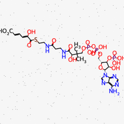 CC(C)(COP(=O)(O)OP(=O)(O)OC[C@H]1O[C@@H](n2cnc3c(N)ncnc32)[C@H](O)[C@@H]1OP(=O)(O)O)C(O)C(=O)NCCC(=O)NCCSC(=O)/C(O)=C/C=C/C(=O)O